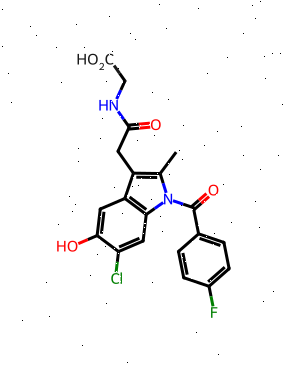 Cc1c(CC(=O)NCC(=O)O)c2cc(O)c(Cl)cc2n1C(=O)c1ccc(F)cc1